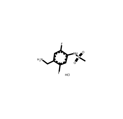 CS(=O)(=O)Nc1cc(F)c(CN)cc1F.Cl